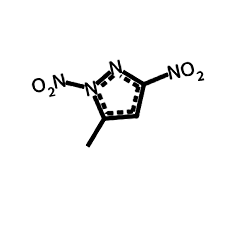 Cc1cc([N+](=O)[O-])nn1[N+](=O)[O-]